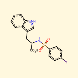 O=C(O)[C@@H](Cc1c[nH]c2ccccc12)NS(=O)(=O)c1ccc(I)cc1